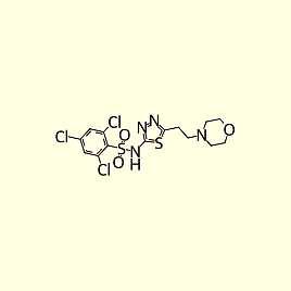 O=S(=O)(Nc1nnc(CCN2CCOCC2)s1)c1c(Cl)cc(Cl)cc1Cl